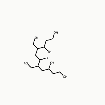 OCCC(S)CC(CS)C(S)CC(CS)C(S)CCO